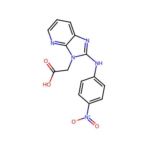 O=C(O)Cn1c(Nc2ccc([N+](=O)[O-])cc2)nc2cccnc21